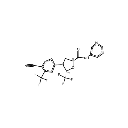 N#Cc1ccc(N2C[C@@H](C(=O)Nc3cccnc3)O[C@@H]2C(F)(F)F)cc1C(F)(F)F